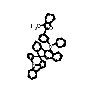 Cc1c(-c2cccc(N(c3ccccc3)c3c4c(cc5ccccc35)C3(c5ccccc5-4)c4ccccc4-n4c5ccccc5c5cccc3c54)c2)oc2ccccc12